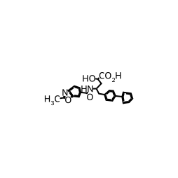 Cc1nc2ccc(C(=O)NC(Cc3ccc(-c4ccccc4)cc3)CC(O)C(=O)O)cc2o1